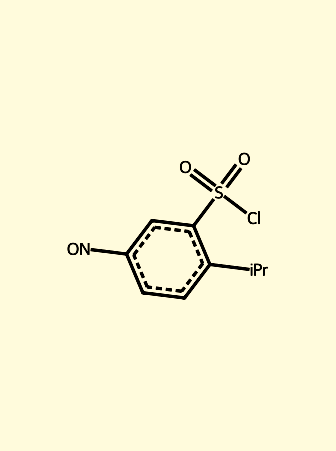 CC(C)c1ccc(N=O)cc1S(=O)(=O)Cl